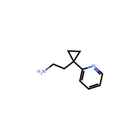 NCCC1(c2ccccn2)CC1